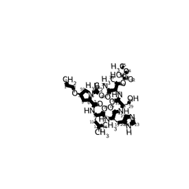 C=CCO[C@@H]1CC(C(=O)N[C@@H](CC(C)C)C(=O)N[C@@H](Cc2cnc[nH]2)C(=O)N[C@@H](CO)C(=O)N[C@H](C(N)=O)C(C)OP(=O)(O)OC)N(C(C)=O)C1